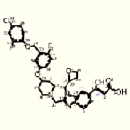 C/C(=C\C(=O)O)c1ccc2nc(CN3CCC(Oc4ccc(F)c(COc5ccc(Cl)cc5F)c4)CC3)n(C[C@@H]3CCO3)c2c1